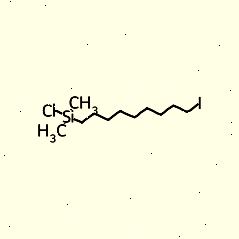 C[Si](C)(Cl)CCCCCCCCCI